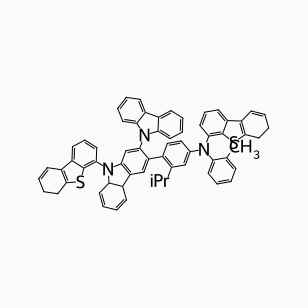 Cc1ccccc1N(c1ccc(-c2cc3c(cc2-n2c4ccccc4c4ccccc42)N(c2cccc4c5c(sc24)CCC=C5)C2C=CC=CC32)c(C(C)C)c1)c1cccc2c3c(sc12)CCC=C3